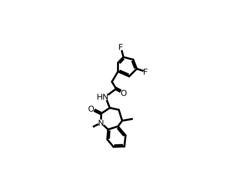 CC1CC(NC(=O)Cc2cc(F)cc(F)c2)C(=O)N(C)c2ccccc21